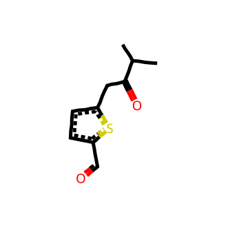 CC(C)C(=O)Cc1ccc(C=O)s1